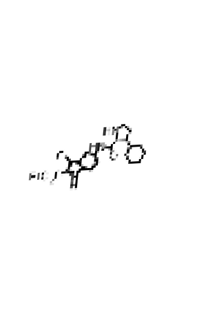 CCOC(=O)c1[nH]c2ccc(NC(=O)[C@H]3NCCC3C3CCCCC3)cc2c1Cl